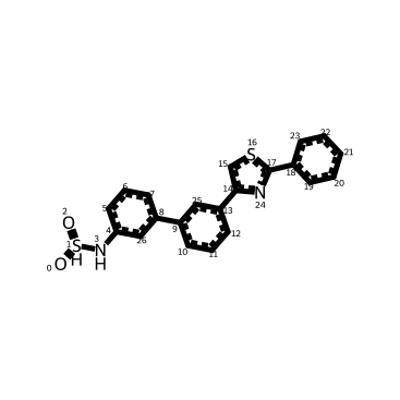 O=[SH](=O)Nc1cccc(-c2cccc(-c3csc(-c4ccccc4)n3)c2)c1